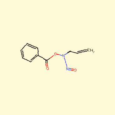 C=CCN(N=O)OC(=O)c1ccccc1